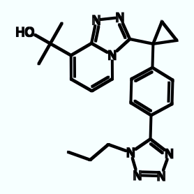 CCCn1nnnc1-c1ccc(C2(c3nnc4c(C(C)(C)O)cccn34)CC2)cc1